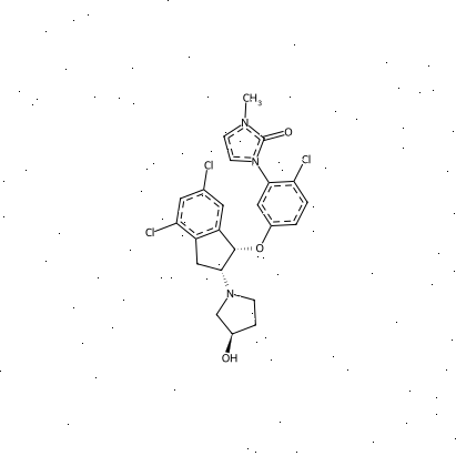 Cn1ccn(-c2cc(O[C@H]3c4cc(Cl)cc(Cl)c4C[C@H]3N3CC[C@@H](O)C3)ccc2Cl)c1=O